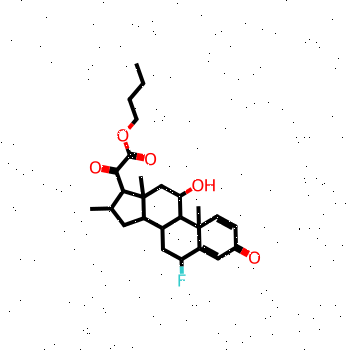 CCCCOC(=O)C(=O)C1C(C)CC2C3CC(F)C4=CC(=O)C=CC4(C)C3C(O)CC21C